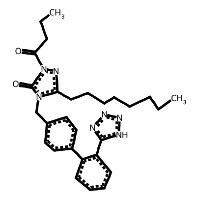 CCCCCCCCc1nn(C(=O)CCC)c(=O)n1Cc1ccc(-c2ccccc2-c2nnn[nH]2)cc1